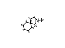 IN1CCC2(CCCCC2)C1